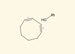 C1=C\CCCC\C=C/1.[OH][Rh]